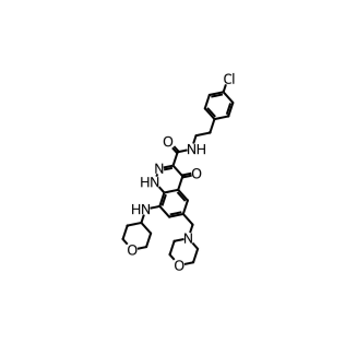 O=C(NCCc1ccc(Cl)cc1)c1n[nH]c2c(NC3CCOCC3)cc(CN3CCOCC3)cc2c1=O